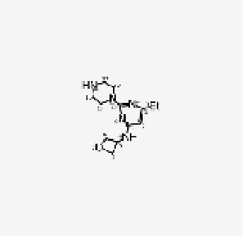 CCc1cc(NC2COC2)nc(N2CCNCC2)n1